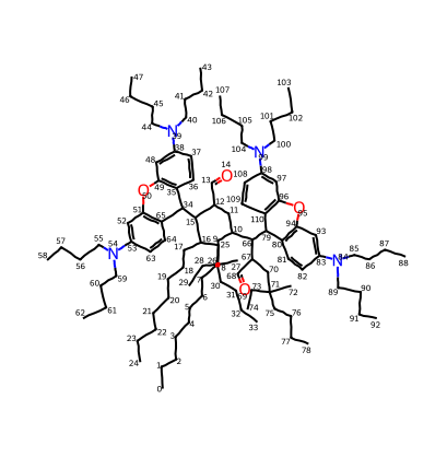 CCCCCCCCCCC(CC(C=O)C(C(CCCCCCCC)CC(C)(CC)CCCC)C1c2ccc(N(CCCC)CCCC)cc2Oc2cc(N(CCCC)CCCC)ccc21)C(C(C=O)CC(C)(CC)CCCC)C1c2ccc(N(CCCC)CCCC)cc2Oc2cc(N(CCCC)CCCC)ccc21